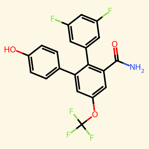 NC(=O)c1cc(OC(F)(F)F)cc(-c2ccc(O)cc2)c1-c1cc(F)cc(F)c1